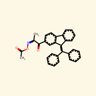 CC(=O)O/N=C(/C)C(=O)c1ccc2c(c1)C(=C(c1ccccc1)c1ccccc1)c1ccccc1-2